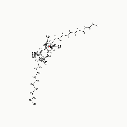 CCCCCCCCCCCCn1c(=O)c2ccc(c1=O)c1c3c(Br)cc(c(=O)n(CCCCCCCCCCCC)c3=O)c21